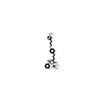 Cn1cnc(CCCOc2ccc(CCCC(NS(=O)(=O)c3ccccc3)C(=O)OC(C)(C)C)cc2)c1